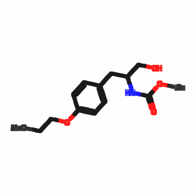 COCCOc1ccc(CC(CO)NC(=O)OC(C)(C)C)cc1